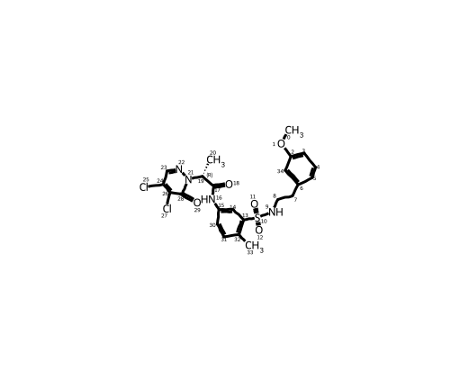 COc1cccc(CCNS(=O)(=O)c2cc(NC(=O)[C@@H](C)n3ncc(Cl)c(Cl)c3=O)ccc2C)c1